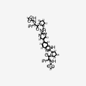 CC(C)[C@H](NC1OCO1)C(=O)N1CCC[C@H]1CNc1ncc(-c2ccc3nc([C@@H]4CCCN4C(=O)[C@@H](NC4OCO4)C(C)C)[nH]c3c2)cn1